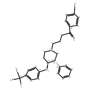 O=C(CCCN1CC[C@H](Oc2ccc(C(F)(F)F)cc2)[C@@H](c2ccccc2)C1)c1ccc(F)cc1